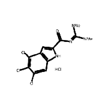 CNC(=NC(=O)c1cc2c(Cl)c(Cl)c(Cl)cc2[nH]1)NC.Cl